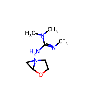 C1CN2CC2O1.CN(C)C(N)=NC(F)(F)F